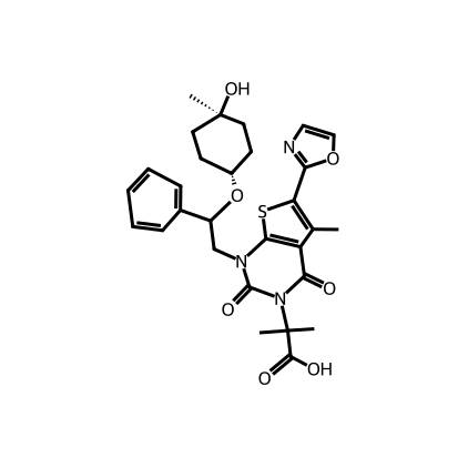 Cc1c(-c2ncco2)sc2c1c(=O)n(C(C)(C)C(=O)O)c(=O)n2CC(O[C@H]1CC[C@](C)(O)CC1)c1ccccc1